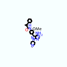 COc1cc(-c2nn(C3CCN(C)CC3)c3ncnc(N)c23)ccc1NC(=O)C1CC1c1ccccc1